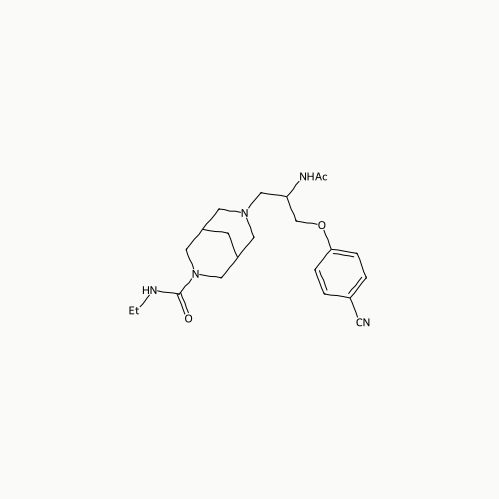 CCNC(=O)N1CC2CC(CN(CC(COc3ccc(C#N)cc3)NC(C)=O)C2)C1